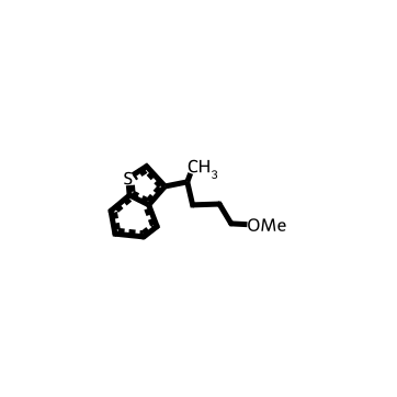 [CH2]OCCCC(C)c1csc2ccccc12